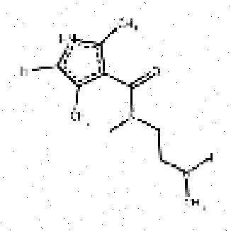 Cc1[nH]c(C(C)C)c(C)c1C(=O)N(I)CCN(C)I